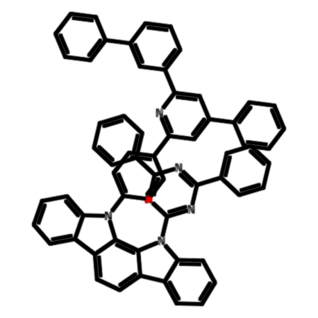 c1ccc(-c2cccc(-c3cc(-c4ccccc4)cc(-c4ccc(-n5c6ccccc6c6ccc7c8ccccc8n(-c8nc(-c9ccccc9)nc(-c9ccccc9)n8)c7c65)cc4)n3)c2)cc1